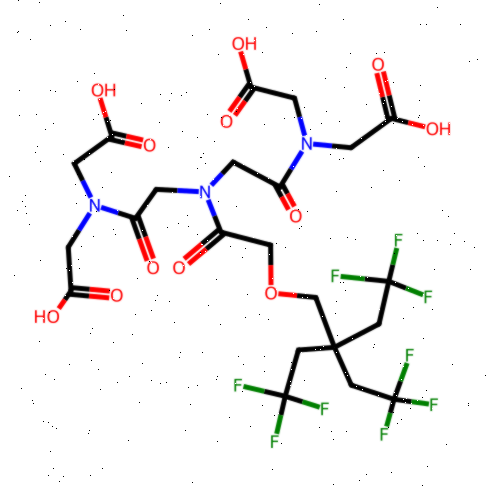 O=C(O)CN(CC(=O)O)C(=O)CN(CC(=O)N(CC(=O)O)CC(=O)O)C(=O)COCC(CC(F)(F)F)(CC(F)(F)F)CC(F)(F)F